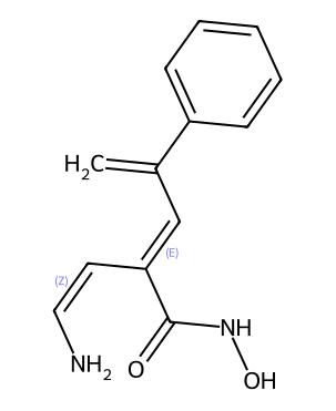 C=C(/C=C(\C=C/N)C(=O)NO)c1ccccc1